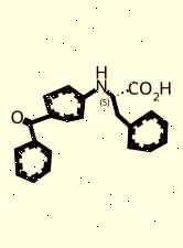 O=C(c1ccccc1)c1ccc(N[C@@H](Cc2ccccc2)C(=O)O)cc1